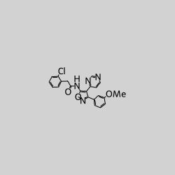 COc1cccc(-c2noc(NC(=O)Cc3ccccc3Cl)c2-c2ccncn2)c1